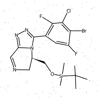 CC(C)(C)[Si](C)(C)OC[C@H]1CN=Cc2nnc(-c3cc(F)c(Br)c(Cl)c3F)n21